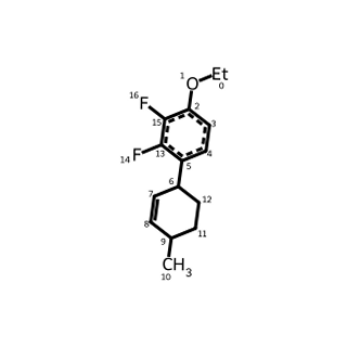 CCOc1ccc(C2C=CC(C)CC2)c(F)c1F